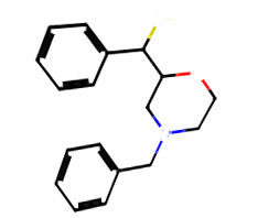 SC(c1ccccc1)C1CN(Cc2ccccc2)CCO1